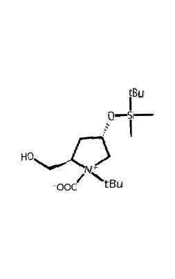 CC(C)(C)[N+]1(C(=O)[O-])C[C@@H](O[Si](C)(C)C(C)(C)C)C[C@@H]1CO